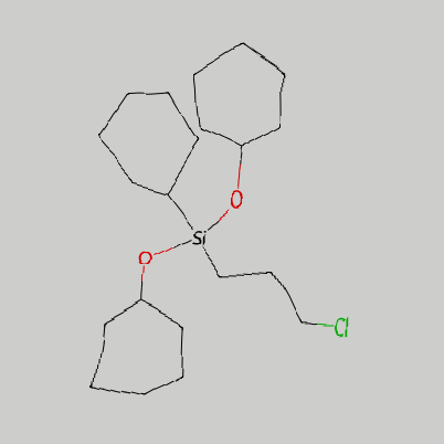 ClCCC[Si](OC1CCCCC1)(OC1CCCCC1)C1CCCCC1